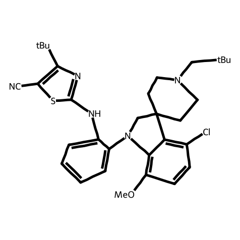 COc1ccc(Cl)c2c1N(c1ccccc1Nc1nc(C(C)(C)C)c(C#N)s1)CC21CCN(CC(C)(C)C)CC1